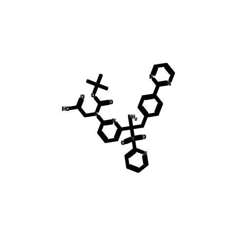 CC(C)(C)OC(=O)N(CC(=O)O)c1cccc(C(N)(Cc2ccc(-c3ncccn3)cc2)S(=O)(=O)c2ccccn2)n1